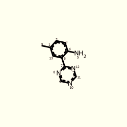 Cc1ccc(N)c(-c2ncncn2)c1